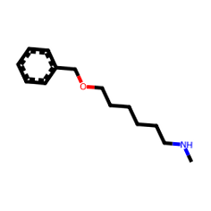 CNCCCCCCOCc1ccccc1